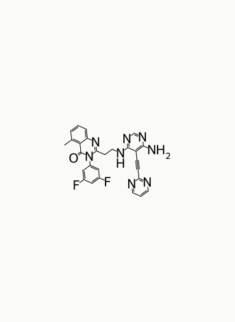 Cc1cccc2nc(CCNc3ncnc(N)c3C#Cc3ncccn3)n(-c3cc(F)cc(F)c3)c(=O)c12